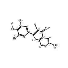 COc1c(Br)cc(-c2oc3ccc(O)cc3c(=O)c2C)cc1Br